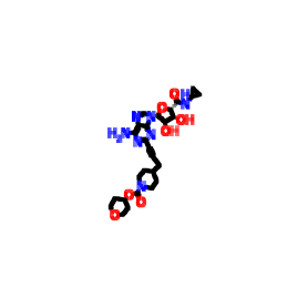 Nc1nc(C#CCC2CCN(C(=O)OC3CCOCC3)CC2)nc2c1ncn2[C@@H]1O[C@H](C(=O)NC2CC2)[C@H](O)C1O